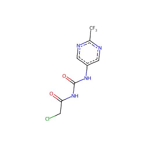 O=C(CCl)NC(=O)Nc1cnc(C(F)(F)F)nc1